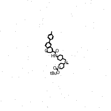 Cc1ccc(-c2ccc3c(c2)C=C(C(=O)NC2CCC(CN(C)C4CCN(C(=O)OC(C)(C)C)CC4)CC2)CCO3)cc1